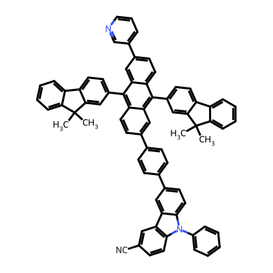 CC1(C)c2ccccc2-c2ccc(-c3c4ccc(-c5cccnc5)cc4c(-c4ccc5c(c4)C(C)(C)c4ccccc4-5)c4ccc(-c5ccc(-c6ccc7c(c6)c6cc(C#N)ccc6n7-c6ccccc6)cc5)cc34)cc21